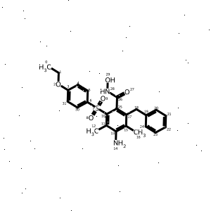 CCOc1ccc(S(=O)(=O)c2c(C)c(N)c(C)c(Cc3ccccc3)c2C(=O)NO)cc1